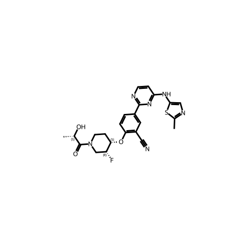 Cc1ncc(Nc2ccnc(-c3ccc(O[C@H]4CCN(C(=O)[C@H](C)O)C[C@H]4F)c(C#N)c3)n2)s1